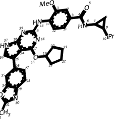 COc1cc(C(=O)NC2CC2C(C)C)ccc1Nc1nc(OC2CCCC2)c2c(-c3ccc4nc(C)oc4c3)c[nH]c2n1